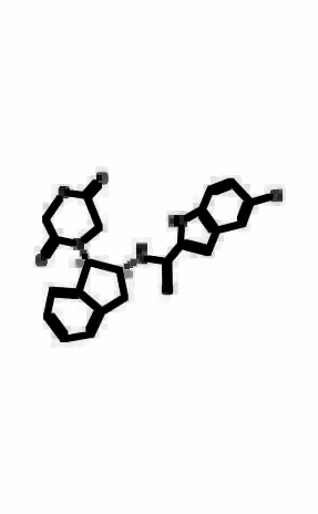 O=C1CN([C@H]2c3ccccc3C[C@H]2NC(=O)c2cc3cc(Cl)ccc3[nH]2)C(=O)CO1